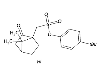 CC(C)(C)c1ccc(OS(=O)(=O)CC23CCC(CC2=O)C3(C)C)cc1.I